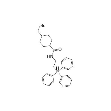 CCC(C)CC1CCC(C(=O)NCC[PH](c2ccccc2)(c2ccccc2)c2ccccc2)CC1